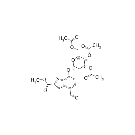 COC(=O)c1cc2c(C=O)ccc(O[C@H]3C[C@@H](OC(C)=O)[C@@H](OC(C)=O)[C@@H](COC(C)=O)O3)c2s1